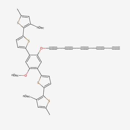 C#CC#CC#CC#CC#COc1cc(-c2ccc(-c3sc(C)cc3CCCCCCCCCC)s2)c(OCCCCCCCCCC)cc1-c1ccc(-c2sc(C)cc2CCCCCCCCCC)s1